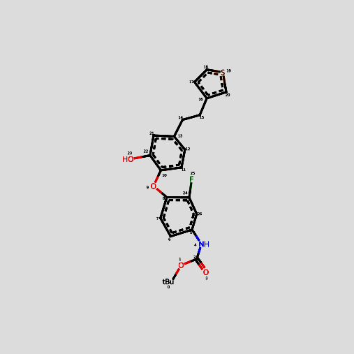 CC(C)(C)OC(=O)Nc1ccc(Oc2ccc(CCc3ccsc3)cc2O)c(F)c1